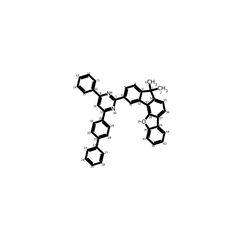 CC1(C)c2ccc(-c3nc(-c4ccccc4)cc(-c4ccc(-c5ccccc5)cc4)n3)cc2-c2c1ccc1c2oc2ccccc21